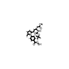 COC(=O)C[C@H](CCC1CCC(C)N1c1ccc(C(=O)OS)cc1)NC(=O)OC(C)(C)C